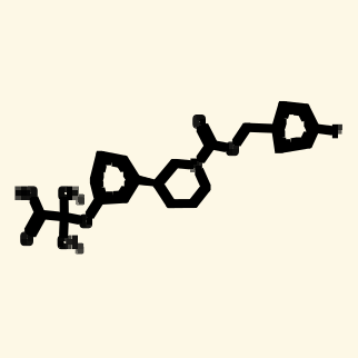 CC(C)(Oc1cccc([C@@H]2CCCN(C(=O)OCc3ccc(F)cc3)C2)c1)C(=O)O